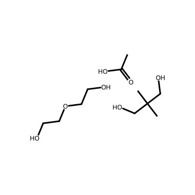 CC(=O)O.CC(C)(CO)CO.OCCOCCO